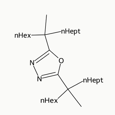 CCCCCCCC(C)(CCCCCC)c1nnc(C(C)(CCCCCC)CCCCCCC)o1